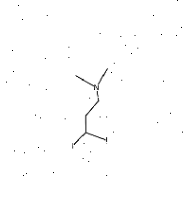 CN(C)CCC(I)I